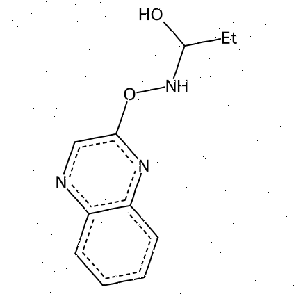 CCC(O)NOc1cnc2ccccc2n1